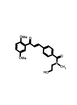 COc1ccc(OC)c(C(=O)C=Cc2ccc(C(=O)N(C)CCO)cc2)c1